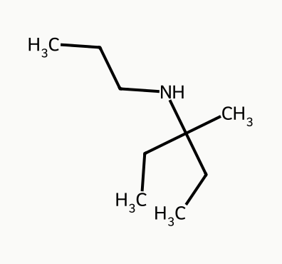 CCCNC(C)(CC)CC